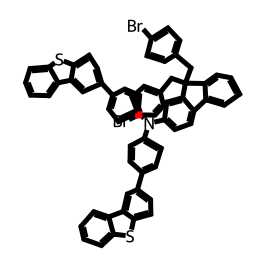 Brc1ccc(CC2(Cc3ccc(Br)cc3)c3ccccc3-c3ccc(N(c4ccc(-c5ccc6sc7ccccc7c6c5)cc4)c4ccc(-c5ccc6sc7ccccc7c6c5)cc4)cc32)cc1